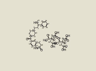 CNC(CCN1CCN(C(=O)c2ccc3c(c2)CCC(=O)N3)CC1)c1ccccc1.O=C(O)CC(O)(CC(=O)O)C(=O)O.O=C(O)CC(O)(CC(=O)O)C(=O)O